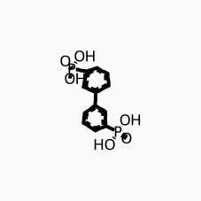 O=P(O)(O)c1cccc(-c2cccc(P(=O)(O)O)c2)c1